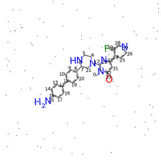 Cn1c(N2CCNC(c3ccc(-c4ccc(N)cc4)cc3)C2)nc(-c2ccncc2F)cc1=O